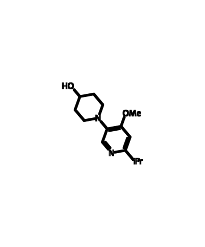 COc1cc(C(C)C)ncc1N1CCC(O)CC1